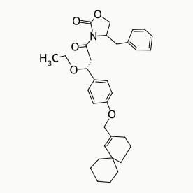 CCO[C@H](CC(=O)N1C(=O)OCC1Cc1ccccc1)c1ccc(OCC2=CC3(CCCCC3)CCC2)cc1